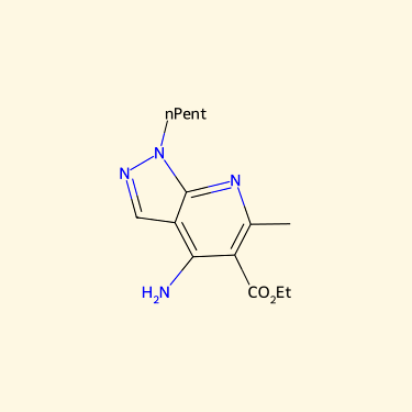 CCCCCn1ncc2c(N)c(C(=O)OCC)c(C)nc21